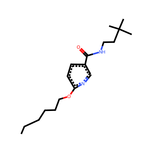 CCCCCCOc1ccc(C(=O)NCCC(C)(C)C)cn1